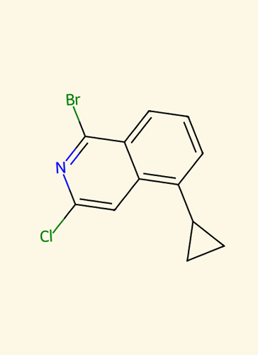 Clc1cc2c(C3CC3)cccc2c(Br)n1